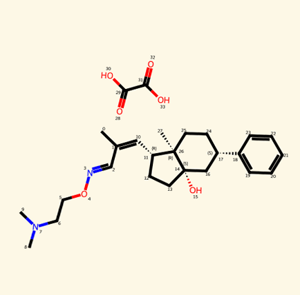 CC(C=NOCCN(C)C)=C[C@H]1CC[C@]2(O)C[C@@H](c3ccccc3)CC[C@]12C.O=C(O)C(=O)O